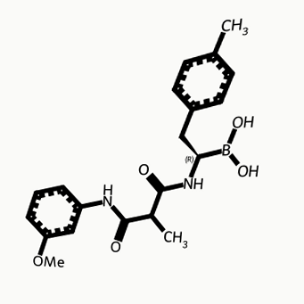 COc1cccc(NC(=O)C(C)C(=O)N[C@@H](Cc2ccc(C)cc2)B(O)O)c1